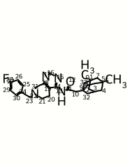 CC12CC3CC(C)(C1)CC(CC(=O)Nc1ncnc4c1CCN(Cc1ccc(F)cc1)C4)(C3)C2